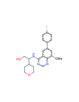 COc1cc(-c2ccc(F)cc2)cc2c(NC(CO)C3CCOCC3)ncnc12